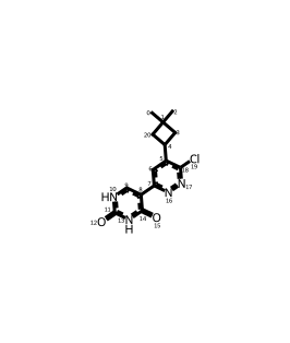 CC1(C)CC(c2cc(-c3c[nH]c(=O)[nH]c3=O)nnc2Cl)C1